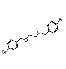 Brc1ccc(COCCOCc2ccc(Br)cc2)cc1